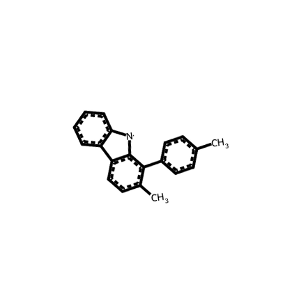 Cc1ccc(-c2c(C)ccc3c2[N]c2ccccc2-3)cc1